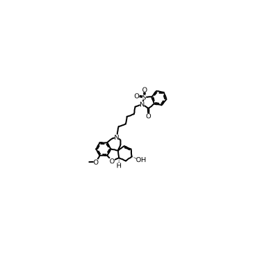 COc1ccc2c3c1O[C@@H]1C[C@@H](O)C=CC31CCN(CCCCCN1C(=O)c3ccccc3S1(=O)=O)C2